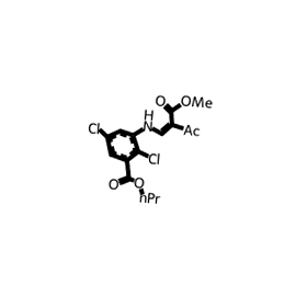 CCCOC(=O)c1cc(Cl)cc(NC=C(C(C)=O)C(=O)OC)c1Cl